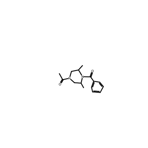 CC(=O)N1CC(C)N(C(=O)c2ccccc2)C(C)C1